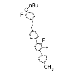 CCCCOc1ccc(CCc2ccc(-c3ccc(-c4ccc(C)cc4)c(F)c3F)cc2)cc1F